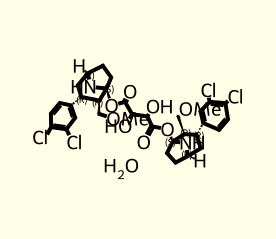 COC[C@H]1[C@H](c2ccc(Cl)c(Cl)c2)C[C@H]2CC[C@@]1(OC(=O)C(O)C(O)C(=O)O[C@@]13CC[C@H](C[C@@H](c4ccc(Cl)c(Cl)c4)[C@@H]1COC)N3)N2.O